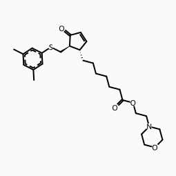 Cc1cc(C)cc(SC[C@H]2C(=O)C=C[C@@H]2CCCCCCC(=O)OCCN2CCOCC2)c1